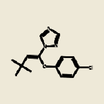 CC(C)(C)/C=C(\Oc1ccc(Cl)cc1)n1cncn1